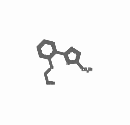 CCOC(=O)c1csc(-c2ccccc2OCOC)n1